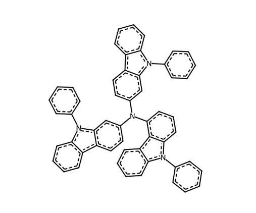 c1ccc(-n2c3ccccc3c3ccc(N(c4ccc5c6ccccc6n(-c6ccccc6)c5c4)c4cccc5c4c4ccccc4n5-c4ccccc4)cc32)cc1